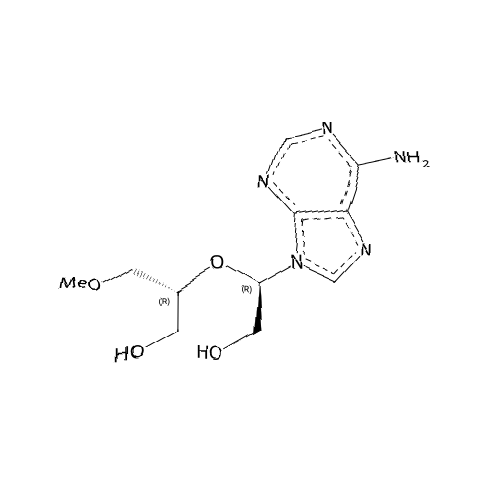 COC[C@@H](CO)O[C@H](CO)n1cnc2c(N)ncnc21